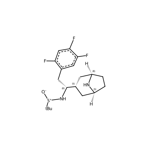 CC(C)(C)[S+]([O-])N[C@H](Cc1cc(F)c(F)cc1F)[C@@H]1C[C@H]2CC[C@@H](C1)N2